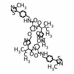 Cc1cc([C@@H](C(=O)N2C[C@H](OCc3cc(C(C(=O)N4C[C@H](O)C[C@H]4C(=O)NCc4ccc(-c5scnc5C)cc4)C(C)C)on3)C[C@H]2C(=O)NCc2ccc(-c3scnc3C)cc2)C(C)C)on1